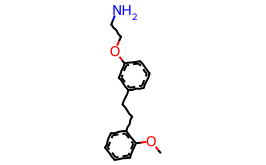 COc1ccccc1CCc1cccc(OCCN)c1